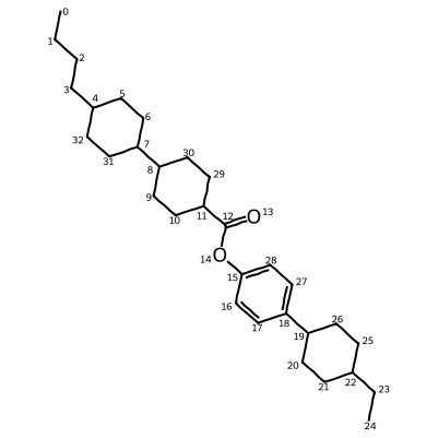 CCCCC1CCC(C2CCC(C(=O)Oc3ccc(C4CCC(CC)CC4)cc3)CC2)CC1